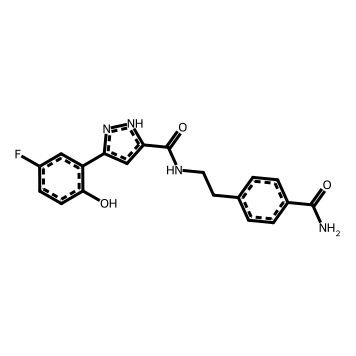 NC(=O)c1ccc(CCNC(=O)c2cc(-c3cc(F)ccc3O)n[nH]2)cc1